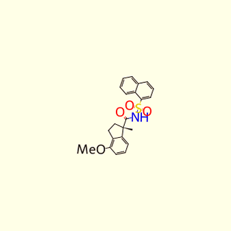 COc1cccc2c1CC[C@]2(C)C(=O)NS(=O)(=O)c1cccc2ccccc12